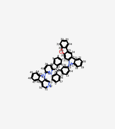 c1ccc([Si](c2ccccc2)(c2cccc(-n3c4ccccc4c4cc5c(cc43)oc3ccccc35)c2)c2cccc(-n3c4ccccc4c4ccncc43)n2)cc1